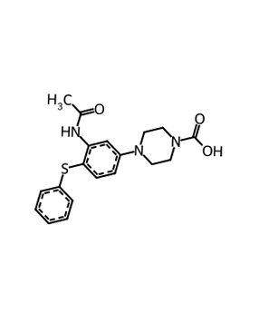 CC(=O)Nc1cc(N2CCN(C(=O)O)CC2)ccc1Sc1ccccc1